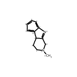 CN1CCC2C(=Nc3ccccc32)C1